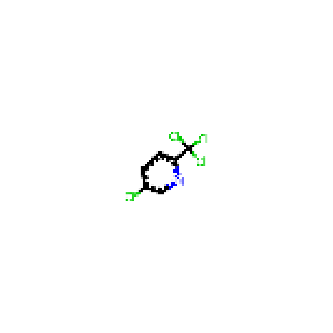 Clc1ccc(C(Cl)(Cl)Cl)nc1